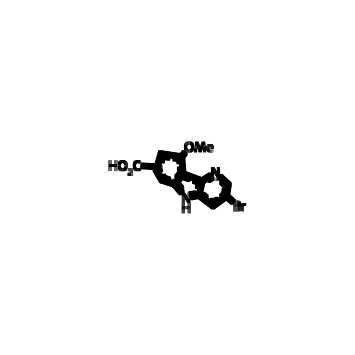 COc1cc(C(=O)O)cc2[nH]c3cc(Br)cnc3c12